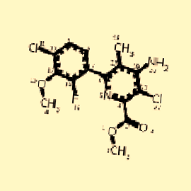 COC(=O)c1nc(-c2ccc(Cl)c(OC)c2F)c(C)c(N)c1Cl